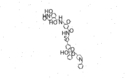 COc1cc(C(=O)NCc2cc(-c3ccc(C(O)(C(=O)OCC4CCN(Cc5ccccc5)CC4)c4ccccc4)cc3)cs2)ccc1CNCC(O)c1ccc(O)c2[nH]c(=O)ccc12